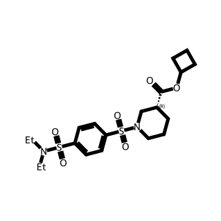 CCN(CC)S(=O)(=O)c1ccc(S(=O)(=O)N2CCC[C@@H](C(=O)OC3CCC3)C2)cc1